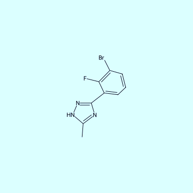 Cc1nc(-c2cccc(Br)c2F)n[nH]1